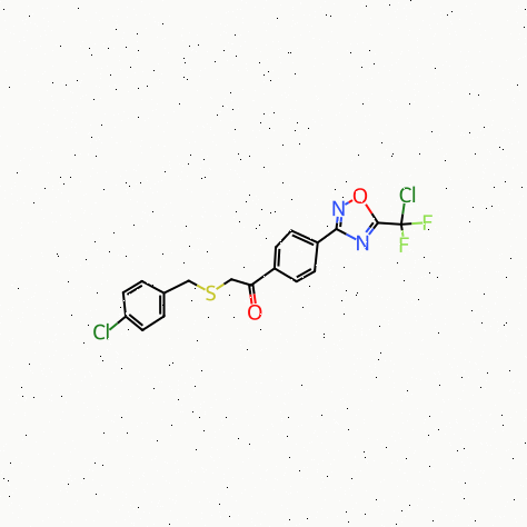 O=C(CSCc1ccc(Cl)cc1)c1ccc(-c2noc(C(F)(F)Cl)n2)cc1